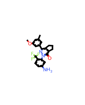 COc1cc(C)cc(-c2nn(-c3cc(N)ccc3C(F)(F)F)c(=O)c3c2CCC3)c1